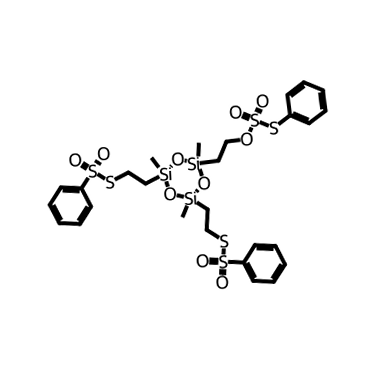 C[Si]1(CCOS(=O)(=O)Sc2ccccc2)O[Si](C)(CCSS(=O)(=O)c2ccccc2)O[Si](C)(CCSS(=O)(=O)c2ccccc2)O1